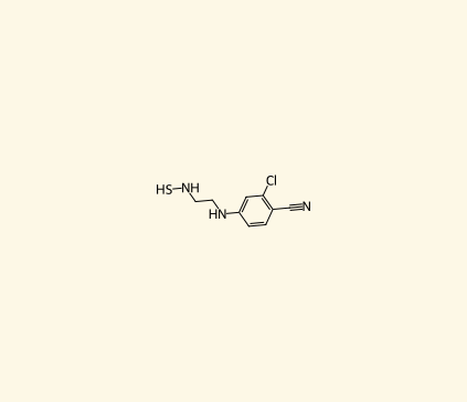 N#Cc1ccc(NCCNS)cc1Cl